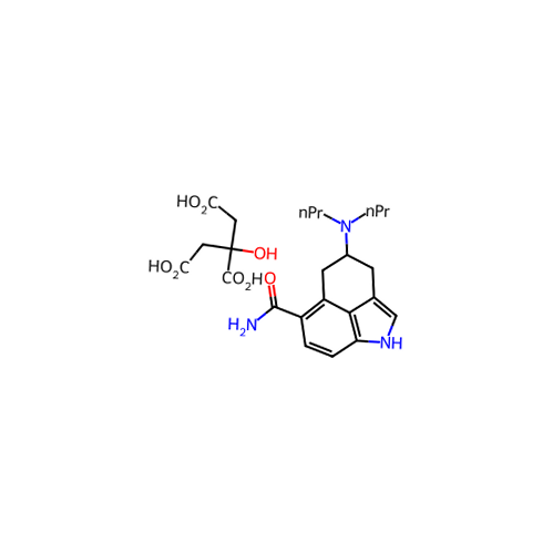 CCCN(CCC)C1Cc2c[nH]c3ccc(C(N)=O)c(c23)C1.O=C(O)CC(O)(CC(=O)O)C(=O)O